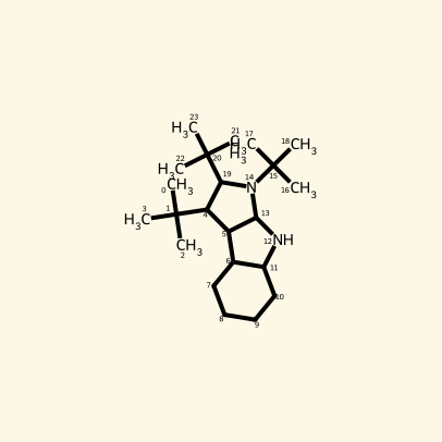 CC(C)(C)C1C2C3CCCCC3NC2N(C(C)(C)C)C1C(C)(C)C